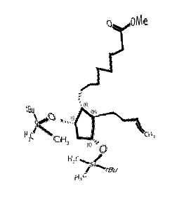 C=CCC[C@@H]1[C@@H](CCCCCCC(=O)OC)[C@@H](O[Si](C)(C)C(C)(C)C)C[C@H]1O[Si](C)(C)C(C)(C)C